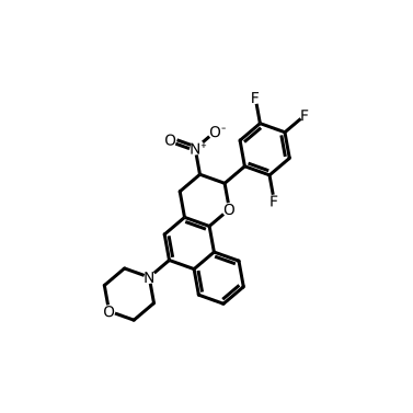 O=[N+]([O-])C1Cc2cc(N3CCOCC3)c3ccccc3c2OC1c1cc(F)c(F)cc1F